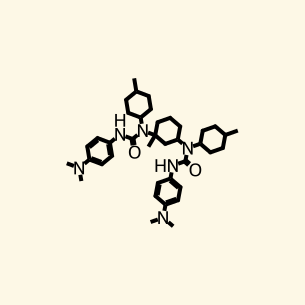 CC1CCC(N(C(=O)Nc2ccc(N(C)C)cc2)C2CCCC(C)(N(C(=O)Nc3ccc(N(C)C)cc3)C3CCC(C)CC3)C2)CC1